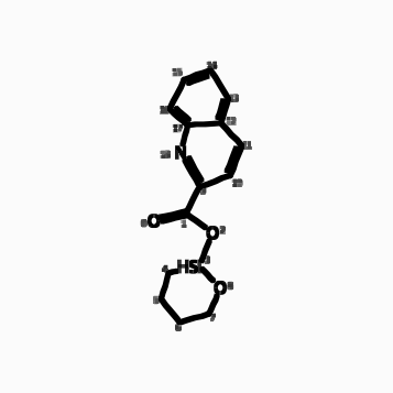 O=C(O[SiH]1CCCCO1)c1ccc2ccccc2n1